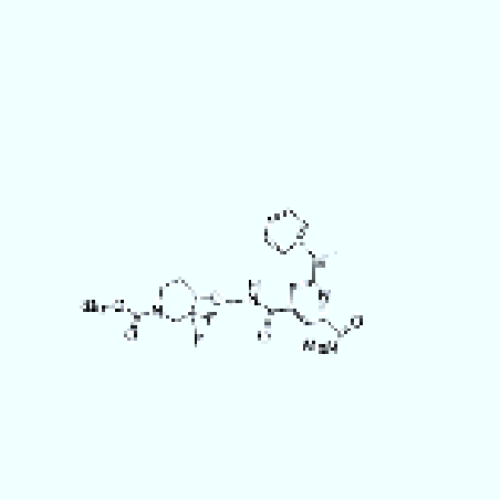 CNC(=O)c1cc(C(=O)NCCC2CCN(C(=O)OC(C)(C)C)CC2(F)F)cc([C@@H](C)c2ccccc2)n1